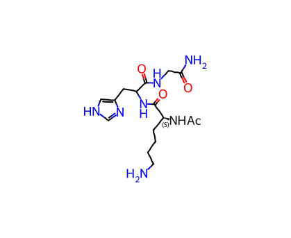 CC(=O)N[C@@H](CCCCN)C(=O)NC(Cc1c[nH]cn1)C(=O)NCC(N)=O